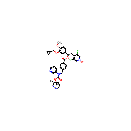 COc1ccc([C@@H](Cc2c(Cl)c[n+]([O-])cc2Cl)OC(=O)c2ccc(CN(C(=O)O[C@H]3CN4CCC3CC4)c3cccnc3)cc2)cc1OCC1CC1